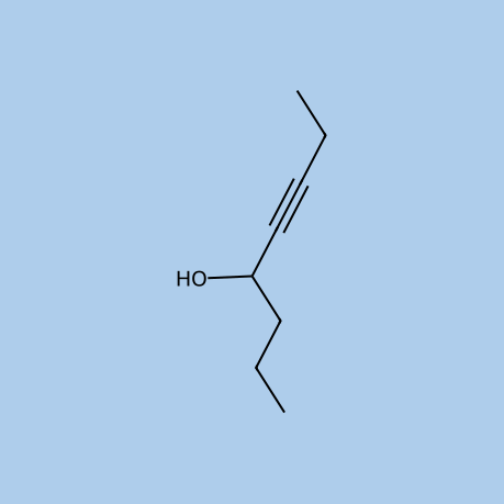 CCC#CC(O)CCC